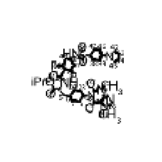 CC(C)OC(=O)[C@H](Cc1ccc(-n2c(=O)c3c(ncn3C)n(C)c2=O)cc1)NC(=O)c1c(F)cc(NS(=O)(=O)c2ccc(-n3cccc3)cc2)cc1F